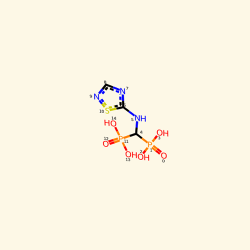 O=P(O)(O)C(Nc1ncns1)P(=O)(O)O